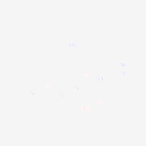 O=C(Nc1cc(-c2cccc3[nH]ccc23)cc2[nH]ncc12)c1csc(CN2CCOC(CN3CCCC3)C2)n1.O=CO